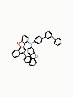 c1ccc(-c2cccc(-c3ccc(N(c4ccc5c(c4)oc4ccccc45)c4cccc5oc6c7ccccc7c(-c7ccccc7)cc6c45)cc3)c2)cc1